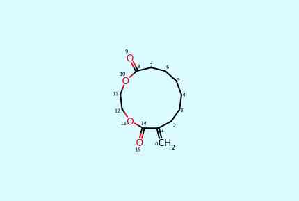 C=C1CCCCCCC(=O)OCCOC1=O